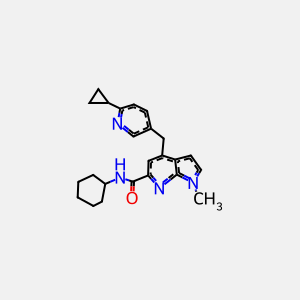 Cn1ccc2c(Cc3ccc(C4CC4)nc3)cc(C(=O)NC3CCCCC3)nc21